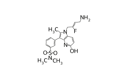 Cc1c(-c2cccc(S(=O)(=O)N(C)C)c2)c2nc(O)ccc2n1CC(F)=CCN